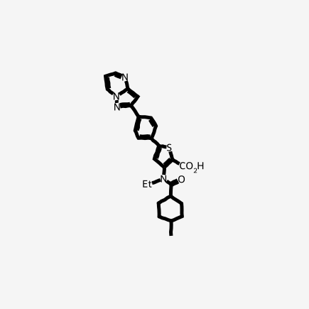 CCN(C(=O)C1CCC(C)CC1)c1cc(-c2ccc(-c3cc4ncccn4n3)cc2)sc1C(=O)O